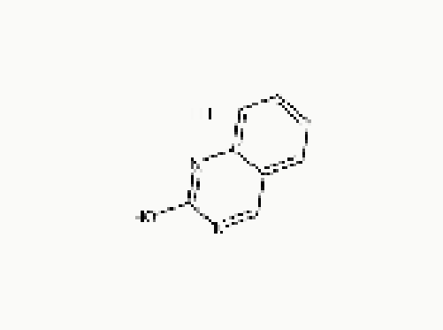 Oc1ncc2ccccc2n1.[LiH]